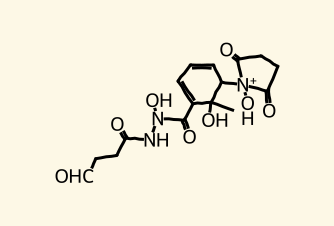 CC1(O)C(C(=O)N(O)NC(=O)CCC=O)=CC=CC1[N+]1(O)C(=O)CCC1=O